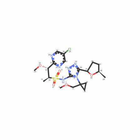 COCC1(n2c(NS(=O)(=O)[C@@H](C)[C@H](OC)c3ncc(Cl)cn3)nnc2C2CC[C@@H](C)O2)CC1